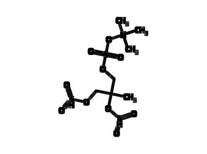 CC(CO[SH](=O)=O)(COS(=O)(=O)O[Si](C)(C)C)O[SH](=O)=O